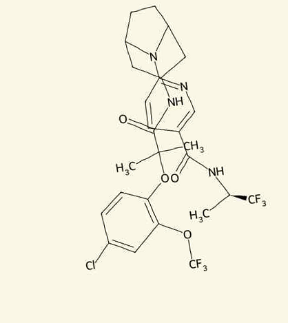 C[C@@H](NC(=O)c1ccc(N2C3CCC2CC(NC(=O)C(C)(C)Oc2ccc(Cl)cc2OC(F)(F)F)C3)nc1)C(F)(F)F